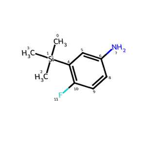 C[Si](C)(C)c1cc(N)ccc1F